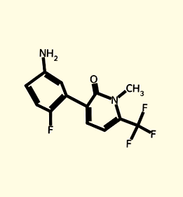 Cn1c(C(F)(F)F)ccc(-c2cc(N)ccc2F)c1=O